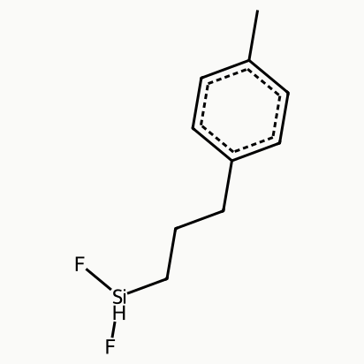 Cc1ccc(CCC[SiH](F)F)cc1